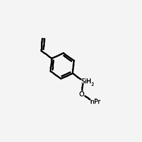 C=Cc1ccc([SiH2]OCCC)cc1